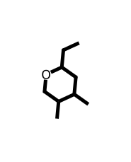 CCC1CC(C)C(C)CO1